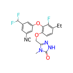 [C-]#[N+]c1cc(Oc2c(OCc3n[nH]c(=O)n3C)ccc(CC)c2F)cc(C(F)F)c1